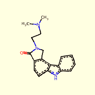 CN(C)CCN1Cc2c(ccc3[nH]c4ccccc4c23)C1=O